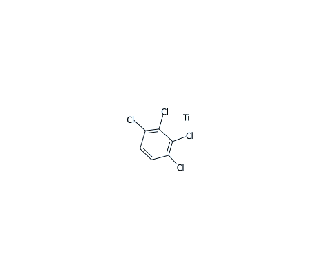 Clc1ccc(Cl)c(Cl)c1Cl.[Ti]